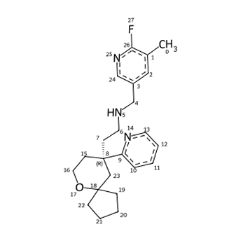 Cc1cc(CNCC[C@@]2(c3ccccn3)CCOC3(CCCC3)C2)cnc1F